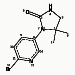 CC1(C)CNC(=O)N1c1ccc(Br)nc1